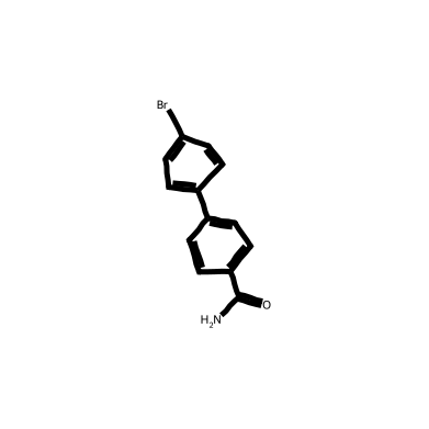 NC(=O)c1ccc(-c2ccc(Br)cc2)cc1